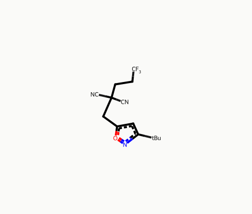 CC(C)(C)c1cc(CC(C#N)(C#N)CCC(F)(F)F)on1